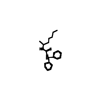 CCCCCC(C)NC(=S)NC(c1ccccc1)c1ccccc1